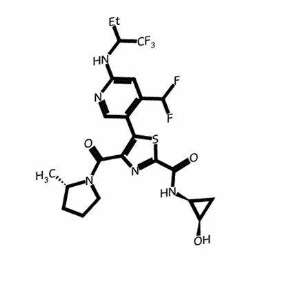 CCC(Nc1cc(C(F)F)c(-c2sc(C(=O)N[C@H]3C[C@H]3O)nc2C(=O)N2CCC[C@@H]2C)cn1)C(F)(F)F